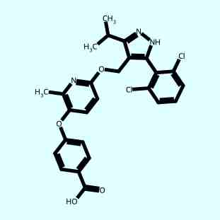 Cc1nc(OCc2c(C(C)C)n[nH]c2-c2c(Cl)cccc2Cl)ccc1Oc1ccc(C(=O)O)cc1